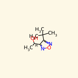 C[C@@H](O)c1nonc1C(C)(C)C